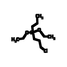 CCC[Si](CCCCl)(OCC)OCC